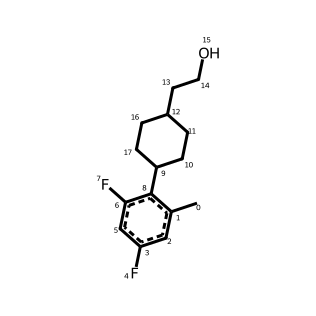 Cc1cc(F)cc(F)c1C1CCC(CCO)CC1